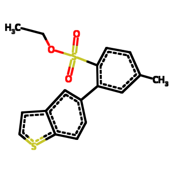 CCOS(=O)(=O)c1ccc(C)cc1-c1ccc2sccc2c1